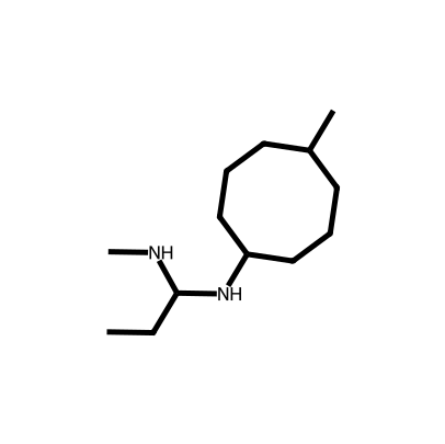 CCC(NC)NC1CCCC(C)CCC1